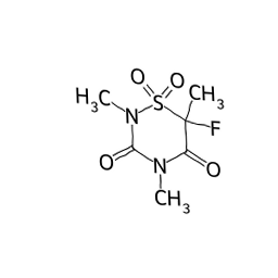 CN1C(=O)N(C)S(=O)(=O)C(C)(F)C1=O